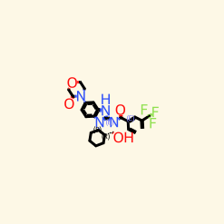 C=C/C(=C\C(=C)C(F)(F)F)C(=O)/N=c1\[nH]c2cc(N3CCOCC3=O)ccc2n1[C@H]1CCCC[C@H]1CO